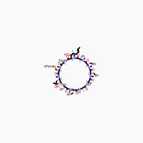 C/C=C/C[C@@H](C)[C@@H](O)[C@H]1C(=O)N[C@@H](CC)C(=O)N(C)[C@H](CSCCCCC)C(=O)N(C)[C@@H](CC(C)(C)O)C(=O)N[C@@H](C(C)C)C(=O)N(C)[C@@H](CC(C)C)C(=O)N[C@@H](C)C(=O)N[C@H](C)C(=O)N(C)[C@@H](CC(C)C)C(=O)N(C)[C@@H](CC(C)C)C(=O)N(C)[C@@H](C(C)C)C(=O)N1C